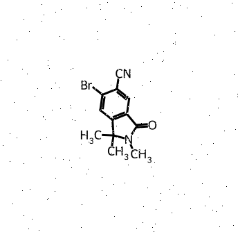 CN1C(=O)c2cc(C#N)c(Br)cc2C1(C)C